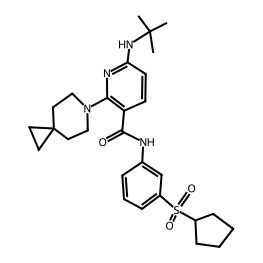 CC(C)(C)Nc1ccc(C(=O)Nc2cccc(S(=O)(=O)C3CCCC3)c2)c(N2CCC3(CC2)CC3)n1